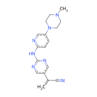 C=C(C#N)c1cnc(Nc2ccc(N3CCN(C)CC3)cn2)nc1